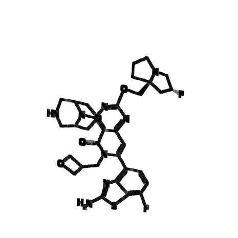 Nc1nc2c(-c3cc4nc(OC[C@@]56CCCN5C[C@H](F)C6)nc(N5C6CNCC5COC6)c4c(=O)n3CC3COC3)ccc(F)c2s1